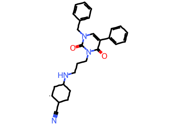 N#CC1[CH]CC(NCCCn2c(=O)c(-c3ccccc3)cn(Cc3ccccc3)c2=O)CC1